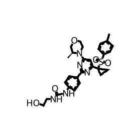 Cc1ccc(S(=O)(=O)C2(c3cc(N4CCOC[C@@H]4C)nc(-c4ccc(NC(=O)NCCO)cc4)n3)CC2)cc1